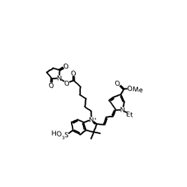 CCN1C=C(C(=O)OC)C=C/C1=C\C=C\C1=[N+](CCCCCC(=O)ON2C(=O)CCC2=O)c2ccc(S(=O)(=O)O)cc2C1(C)C